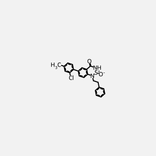 Cc1ccc(-c2ccc3c(c2)C(=O)N[S+]([O-])N3CCc2ccccc2)c(Cl)c1